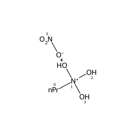 CCC[N+](O)(O)O.O=[N+]([O-])[O-]